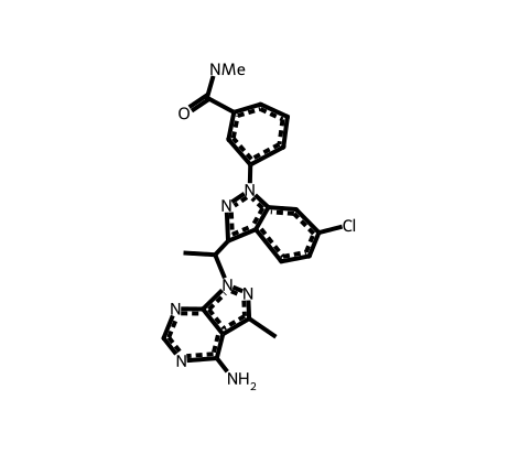 CNC(=O)c1cccc(-n2nc(C(C)n3nc(C)c4c(N)ncnc43)c3ccc(Cl)cc32)c1